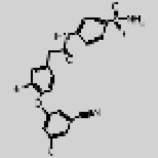 N#Cc1cc(Cl)cc(Oc2ccc(CC(=O)Nc3ccc(S(N)(=O)=O)cc3)cc2Br)c1